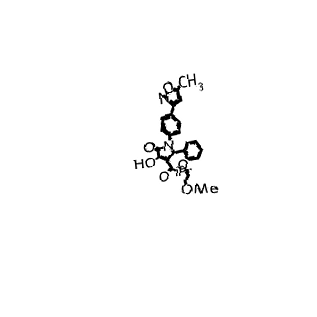 COCCOc1ccccc1C1C(C(=O)C(C)C)=C(O)C(=O)N1c1ccc(-c2cc(C)on2)cc1